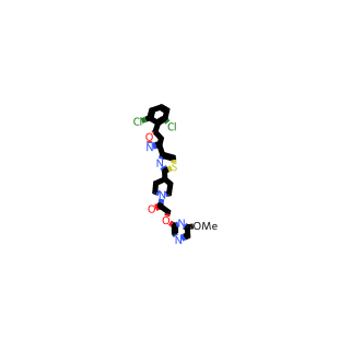 COc1cncc(OCC(=O)N2CCC(c3nc(C4=NOC(c5c(Cl)cccc5Cl)C4)cs3)CC2)n1